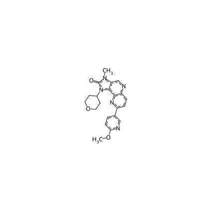 COc1ccc(-c2ccc3ncc4c(c3n2)n(C2CCOCC2)c(=O)n4C)cn1